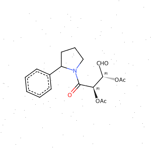 CC(=O)O[C@@H](C=O)[C@@H](OC(C)=O)C(=O)N1CCCC1c1ccccc1